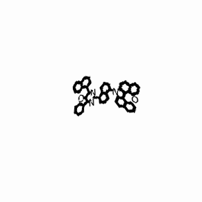 c1ccc2c(-c3nc(-c4cccc5c(-n6c7ccc8cccc9oc%10cccc%11ccc6c(c%11%10)c7c89)cccc45)nc4c3oc3ccccc34)cccc2c1